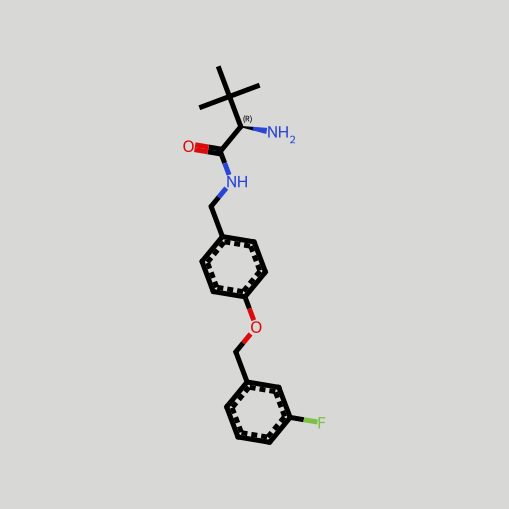 CC(C)(C)[C@@H](N)C(=O)NCc1ccc(OCc2cccc(F)c2)cc1